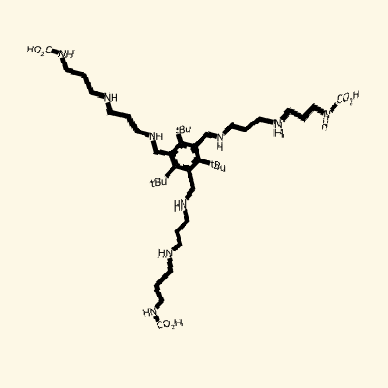 CC(C)(C)c1c(CNCCCNCCCNC(=O)O)c(C(C)(C)C)c(CNCCCNCCCNC(=O)O)c(C(C)(C)C)c1CNCCCNCCCNC(=O)O